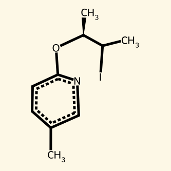 Cc1ccc(O[C@@H](C)C(C)I)nc1